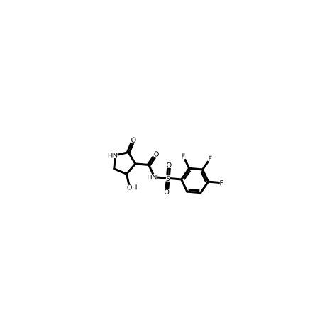 O=C1NCC(O)C1C(=O)NS(=O)(=O)c1ccc(F)c(F)c1F